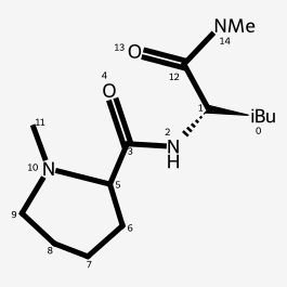 CC[C@H](C)[C@H](NC(=O)C1CCCCN1C)C(=O)NC